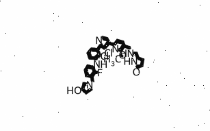 COc1nc(-c2ccnc(-c3cccc(Nc4cccc(CN5CCC(O)C5)c4F)c3Cl)c2Cl)ccc1CNCC1CCC(=O)N1